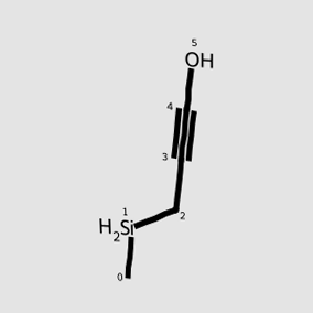 C[SiH2]CC#CO